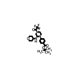 CC(C)(C)OC(=O)c1ccc(N2CCN(C(=O)C(F)(F)F)CC2NC2CCOCC2)cc1